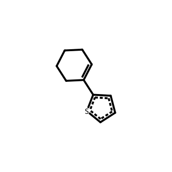 C1=C(c2cccs2)CCCC1